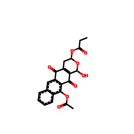 CCC(=O)O[C@@H]1CC2=C(C(=O)c3c(cc4ccccc4c3OC(C)=O)C2=O)[C@H](O)O1